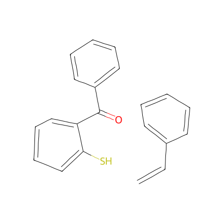 C=Cc1ccccc1.O=C(c1ccccc1)c1ccccc1S